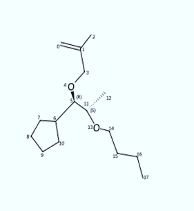 C=C(C)CO[C@H](C1CCCC1)[C@H](C)OCCCC